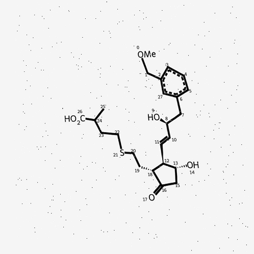 COCc1cccc(C[C@H](O)C=C[C@H]2[C@H](O)CC(=O)[C@@H]2CCSCCC(C)C(=O)O)c1